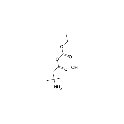 CCOC(=O)OC(=O)CC(C)(C)N.Cl